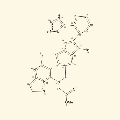 CCc1cc(N(CC(=O)OC)Cc2ccc3oc(-c4ccccc4-c4nnn[nH]4)c(Br)c3c2)n2nccc2n1